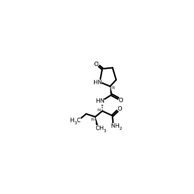 CC[C@H](C)[C@H](NC(=O)[C@@H]1CCC(=O)N1)C(N)=O